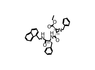 CCOC(=O)[C@@H]1[C@@H](C(=O)N[C@@H](Cc2ccccc2)C(=O)NCc2cccc3ccccc23)N1Cc1ccccc1